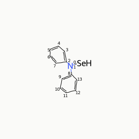 [SeH]N(c1ccccc1)c1ccccc1